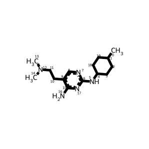 CC1CCC(Nc2ncc(CCN(C)C)c(N)n2)CC1